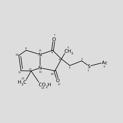 CC(=O)SCCC1(C)C(=O)N2CC=CC(C)(C(=O)O)N2C1=O